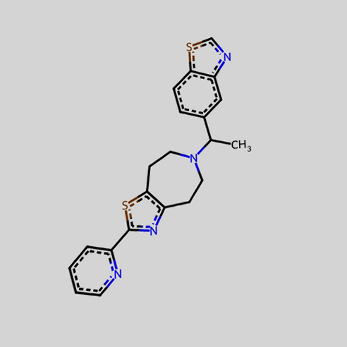 CC(c1ccc2scnc2c1)N1CCc2nc(-c3ccccn3)sc2CC1